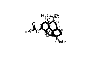 CCCC(=O)OC1=CC[C@@]2(O)[C@H](N(C)CC)Cc3ccc(OC)c4c3[C@@]2(C)[C@H]1O4